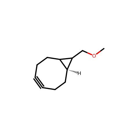 COCC1C2CCC#CCC[C@@H]21